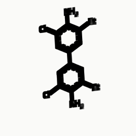 CCc1cc(-c2cc(Cl)c(N)c(CC)c2)cc(Cl)c1N